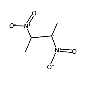 C[C](C(C)[N+](=O)[O-])[N+](=O)[O-]